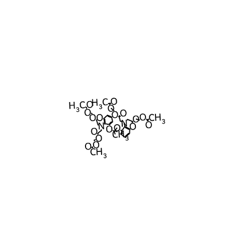 CC(=O)OCOC(=O)CN(CC(=O)OCOC(C)=O)c1ccccc1OC(C)Oc1ccccc1N(CC(=O)OCOC(C)=O)CC(=O)OCOC(C)=O